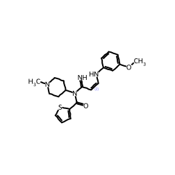 COc1cccc(N/C=C\C(=N)N(C(=O)c2cccs2)C2CCN(C)CC2)c1